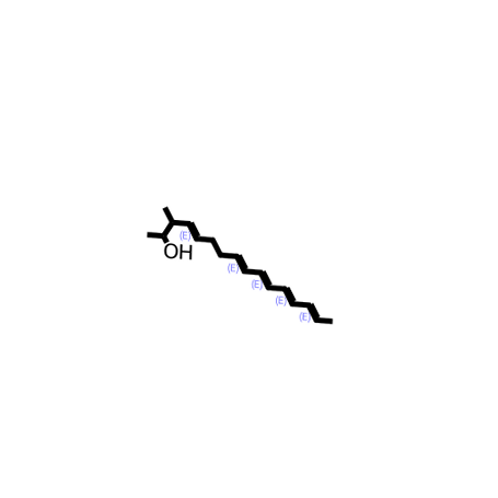 C/C=C/C=C/C=C/C=C/CC/C=C/C(C)C(C)O